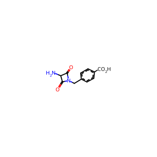 NC1C(=O)N(Cc2ccc(C(=O)O)cc2)C1=O